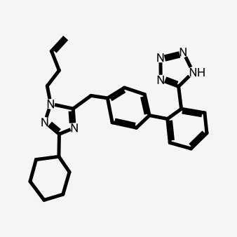 C=CCCn1nc(C2CCCCC2)nc1Cc1ccc(-c2ccccc2-c2nnn[nH]2)cc1